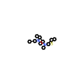 c1ccc(-c2ccc(N(c3ccccc3)c3c(-c4ccc(N(c5ccccc5)c5ccc6sc7c8ccccc8ccc7c6c5)cc4)ccc4ccccc34)cc2)cc1